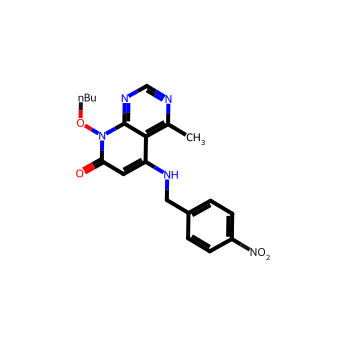 CCCCOn1c(=O)cc(NCc2ccc([N+](=O)[O-])cc2)c2c(C)ncnc21